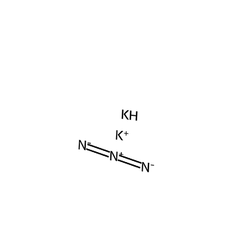 [K+].[KH].[N-]=[N+]=[N-]